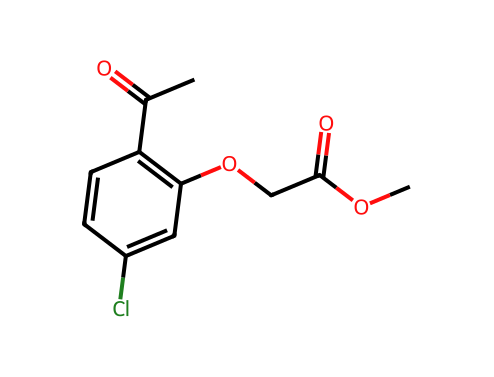 COC(=O)COc1cc(Cl)ccc1C(C)=O